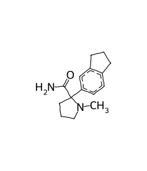 CN1CCCC1(C(N)=O)c1ccc2c(c1)CCC2